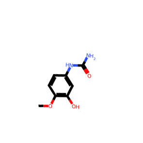 COc1ccc(NC(N)=O)cc1O